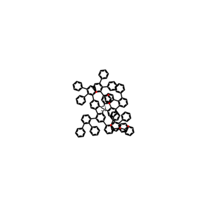 c1ccc(-c2cccc(-c3ccc4c(c3)[Si]3(c5cc(-c6cccc(-c7ccccc7)c6-c6ccccc6)ccc5-c5c(-c6cccc(-c7ccccc7)c6-c6ccccc6)cc(-c6cccc(-c7ccccc7)c6-c6ccccc6)cc53)c3cc(-c5cccc(-c6ccccc6)c5-c5ccccc5)cc(-c5cccc(-c6ccccc6)c5-c5ccccc5)c3-4)c2-c2ccccc2)cc1